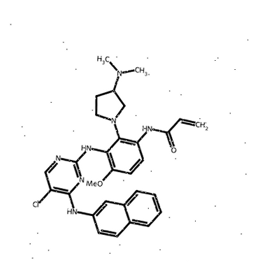 C=CC(=O)Nc1ccc(OC)c(Nc2ncc(Cl)c(Nc3ccc4ccccc4c3)n2)c1N1CCC(N(C)C)C1